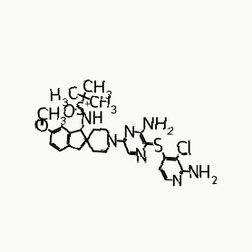 COc1ccc2c(c1)[C@@H](N[S+]([O-])C(C)(C)C)C1(CCN(c3cnc(Sc4ccnc(N)c4Cl)c(N)n3)CC1)C2